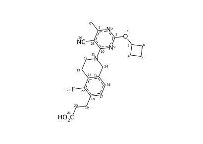 Cc1nc(OC2CCC2)nc(N2CCc3c(ccc(CCC(=O)O)c3F)C2)c1C#N